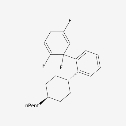 CCCCC[C@H]1CC[C@H](c2ccccc2C2(F)C=C(F)CC=C2F)CC1